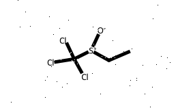 CC[S+]([O-])C(Cl)(Cl)Cl